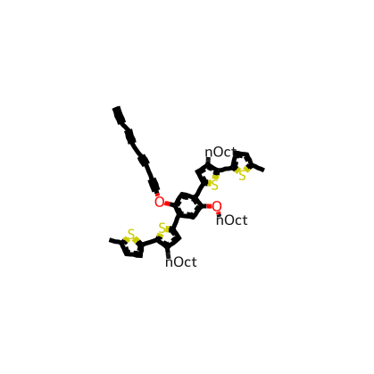 C#CC#CC#CC#COc1cc(-c2cc(CCCCCCCC)c(-c3ccc(C)s3)s2)c(OCCCCCCCC)cc1-c1cc(CCCCCCCC)c(-c2ccc(C)s2)s1